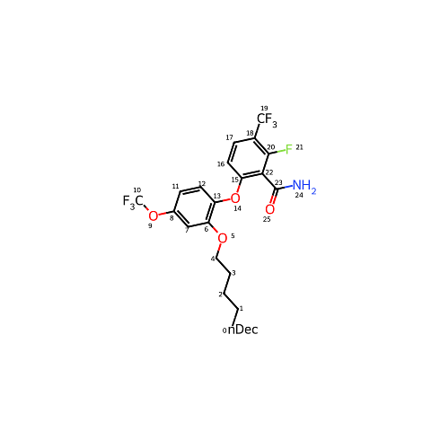 CCCCCCCCCCCCCCOc1cc(OC(F)(F)F)ccc1Oc1ccc(C(F)(F)F)c(F)c1C(N)=O